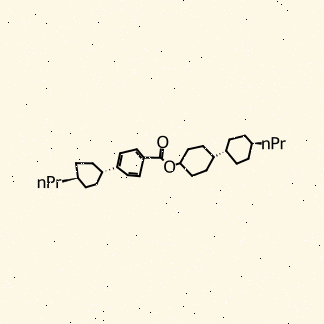 CCC[C@H]1CC[C@H](c2ccc(C(=O)OC3CCC([C@H]4CC[C@H](CCC)CC4)CC3)cc2)CC1